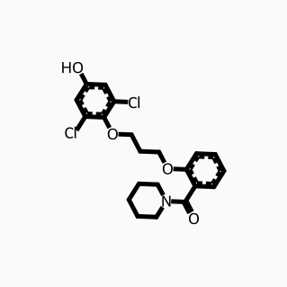 O=C(c1ccccc1OCCCOc1c(Cl)cc(O)cc1Cl)N1CCCCC1